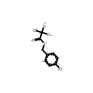 O=C(SCc1ccc(Cl)cc1)C(Cl)(Cl)Cl